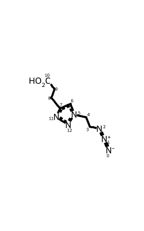 [N-]=[N+]=NCCn1cc(CCC(=O)O)nn1